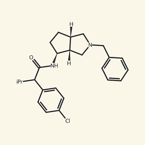 CC(C)C(C(=O)N[C@H]1CC[C@@H]2CN(Cc3ccccc3)C[C@@H]21)c1ccc(Cl)cc1